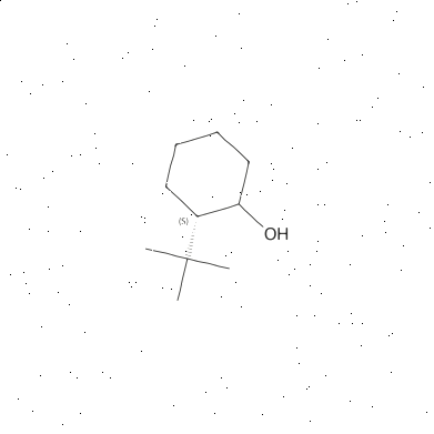 CC(C)(C)[C@@H]1CCCCC1O